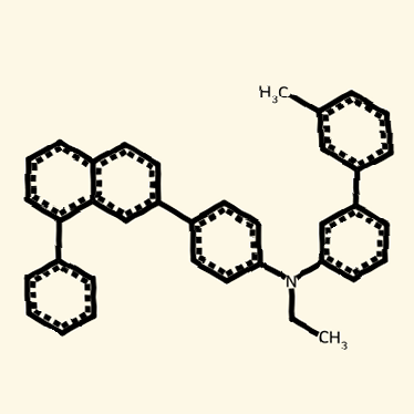 CCN(c1ccc(-c2ccc3cccc(-c4ccccc4)c3c2)cc1)c1cccc(-c2cccc(C)c2)c1